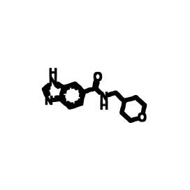 O=C(NCC1CCOCC1)c1ccc2nc[nH]c2c1